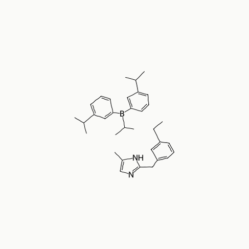 CC(C)B(c1cccc(C(C)C)c1)c1cccc(C(C)C)c1.CCc1cccc(Cc2ncc(C)[nH]2)c1